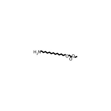 CCOC(=O)COCCCCCCCCCCCCCN